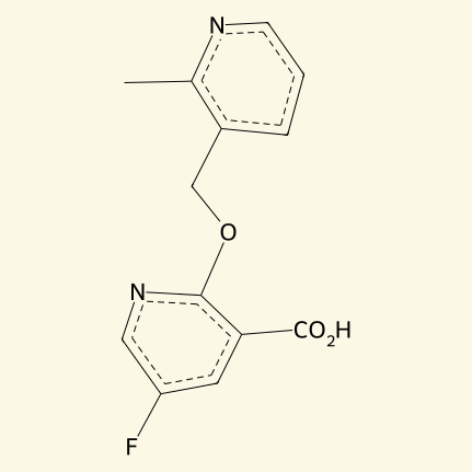 Cc1ncccc1COc1ncc(F)cc1C(=O)O